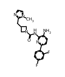 Cn1ccnc1CC1CN(C(=O)Nc2nc(-c3ccc(F)cc3F)ccc2N)C1